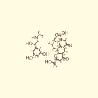 CC(C)NCC(O)c1cc(O)cc(O)c1.CCCc1c2oc(C(=O)O)cc(=O)c2cc2c(=O)cc(C(=O)O)n(CC)c12